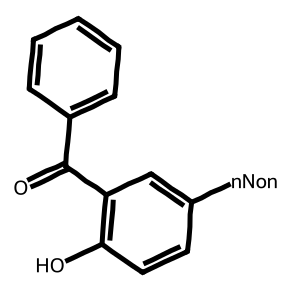 CCCCCCCCCc1ccc(O)c(C(=O)c2ccccc2)c1